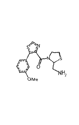 COc1cccc(-c2scnc2C(=O)N2CCSC2CN)c1